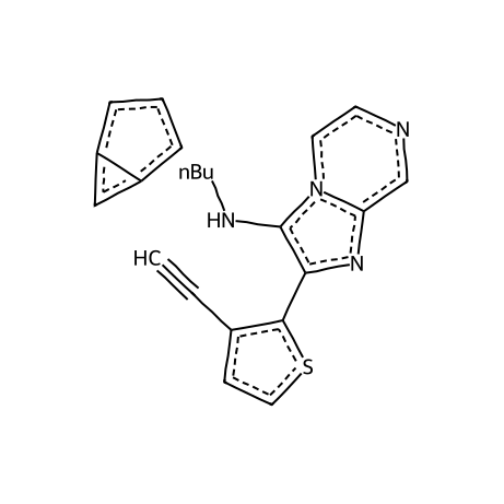 C#Cc1ccsc1-c1nc2cnccn2c1NCCCC.c1cc2cc-2c1